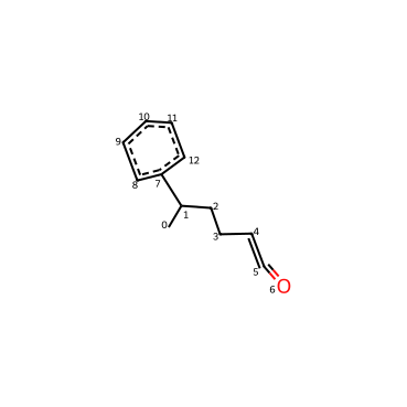 CC(CCC=C=O)c1ccccc1